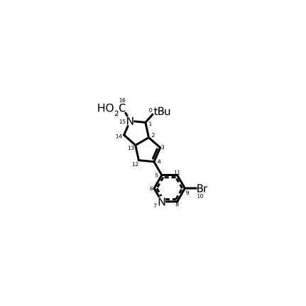 CC(C)(C)C1C2C=C(c3cncc(Br)c3)CC2CN1C(=O)O